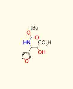 CC(C)(C)OC(=O)N[C@@H](c1ccoc1)[C@@H](O)C(=O)O